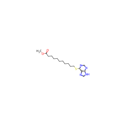 COC(=O)CCCCCCCCCCSc1ncnc2[nH]cnc12